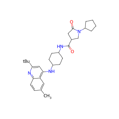 Cc1ccc2nc(C(C)(C)C)cc(NC3CCC(NC(=O)C4CC(=O)N(C5CCCC5)C4)CC3)c2c1